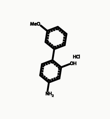 COc1cccc(-c2ccc(N)cc2O)c1.Cl